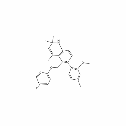 COc1cc(F)ccc1-c1ccc2c(c1COc1ccc(F)cc1)C(C)=CC(C)(C)N2